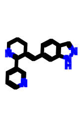 C(=C1CCCN=C1c1cccnc1)c1ccc2cn[nH]c2c1